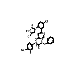 N#Cc1ccc(NC(=O)[C@H](Cc2ccccc2)n2cnc(-c3cc(Cl)ccc3N3C=C(Cl)NN3)cc2=O)cc1F